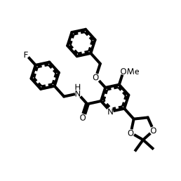 COc1cc(C2COC(C)(C)O2)nc(C(=O)NCc2ccc(F)cc2)c1OCc1ccccc1